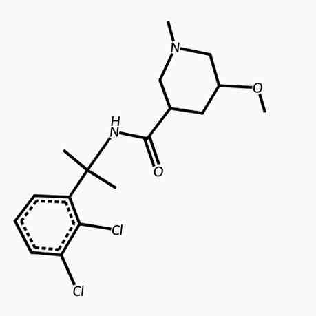 COC1CC(C(=O)NC(C)(C)c2cccc(Cl)c2Cl)CN(C)C1